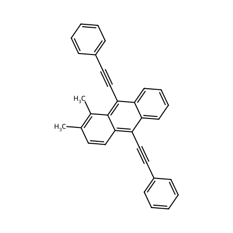 Cc1ccc2c(C#Cc3ccccc3)c3ccccc3c(C#Cc3ccccc3)c2c1C